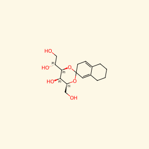 OC[C@@H](O)[C@H]1OC2(C=C3CCCCC3=CC2)O[C@@H](CO)[C@H]1O